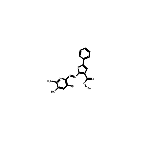 CC(C)(C)OC(=O)c1cc(-c2ccccc2)sc1/N=N/c1nc(N)c(O)cc1Br